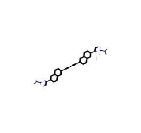 CC(C)c1ncc(-c2ccc3cc(C#CC#Cc4ccc5cc(-c6cnc([C@H](C)I)[nH]6)ccc5c4)ccc3c2)[nH]1